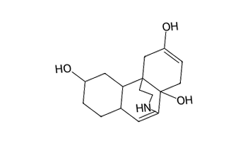 OC1=CCC2(O)C3=CC4CCC(O)CC4C2(CCN3)C1